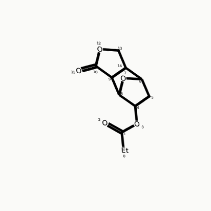 CCC(=O)OC1CC2OC1C1C(=O)OCC21